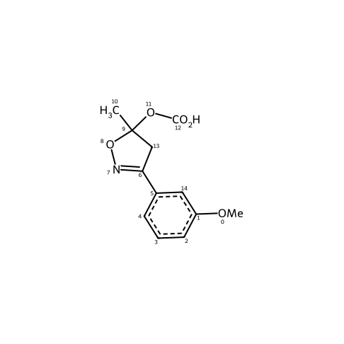 COc1cccc(C2=NOC(C)(OC(=O)O)C2)c1